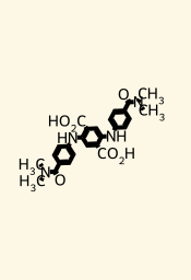 CN(C)C(=O)c1ccc(Nc2cc(C(=O)O)c(Nc3ccc(C(=O)N(C)C)cc3)cc2C(=O)O)cc1